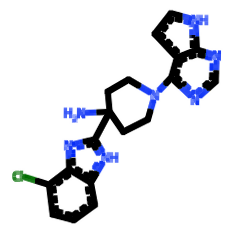 NC1(c2nc3c(Cl)cccc3[nH]2)CCN(c2ncnc3[nH]ccc23)CC1